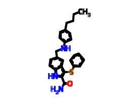 CCCCc1ccc(NCc2ccc3[nH]c(C(N)=O)c(Sc4ccccc4)c3c2)cc1